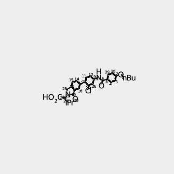 CCCCOc1ccc(C(=O)Nc2ccc(-c3ccc4c(c3)C(=O)N(C(C(=O)O)C(C)C)C4)c(Cl)c2)cc1